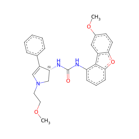 COCCN1C=C(c2ccccc2)[C@H](NC(=O)Nc2cccc3oc4ccc(OC)cc4c23)C1